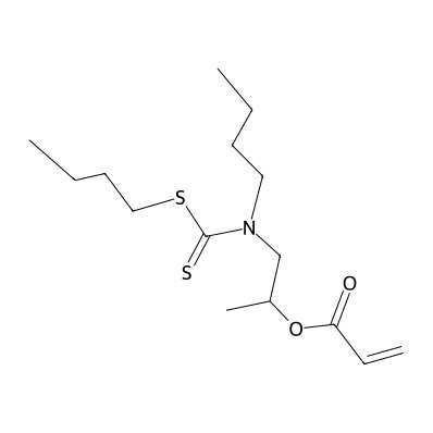 C=CC(=O)OC(C)CN(CCCC)C(=S)SCCCC